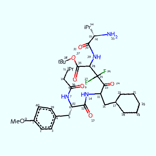 COc1ccc(C[C@H](NC(=O)CC(C)C)C(=O)NC(CC2CCCCC2)C(=O)C(F)(F)C(NC(=O)[C@@H](N)C(C)C)C(=O)OC(C)(C)C)cc1